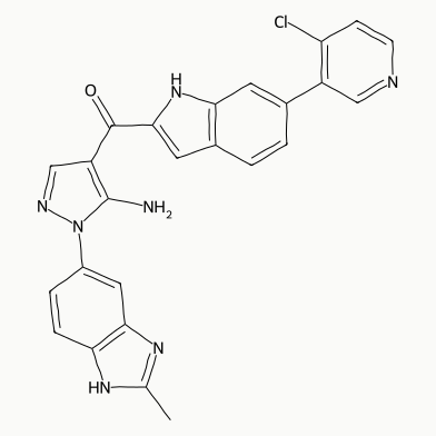 Cc1nc2cc(-n3ncc(C(=O)c4cc5ccc(-c6cnccc6Cl)cc5[nH]4)c3N)ccc2[nH]1